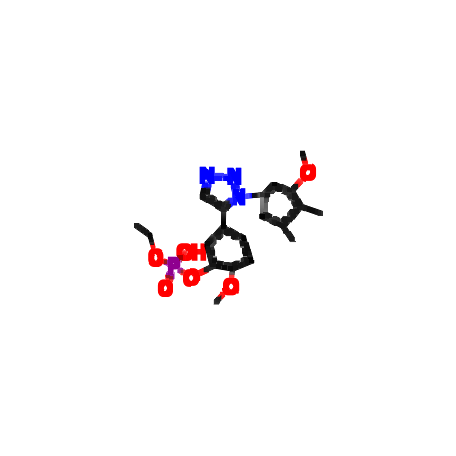 CCOP(=O)(O)Oc1cc(-c2cnnn2-c2cc(C)c(C)c(OC)c2)ccc1OC